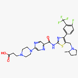 CC1CCCN1Cc1sc(NC(=O)c2cnc(N3CCN(CCC(=O)O)CC3)cn2)nc1-c1ccc(F)c(C(F)(F)F)c1